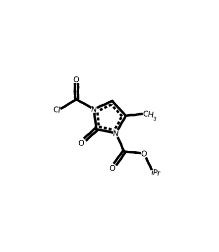 Cc1cn(C(=O)Cl)c(=O)n1C(=O)OC(C)C